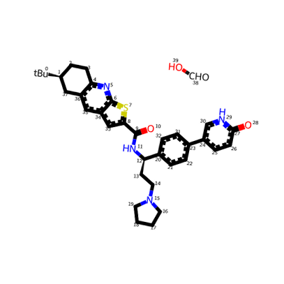 CC(C)(C)[C@H]1CCc2nc3sc(C(=O)N[C@H](CCN4CCCC4)c4ccc(-c5ccc(=O)[nH]c5)cc4)cc3cc2C1.O=CO